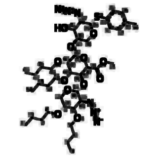 CCCCOC1[C@H](OCCCC)CO[C@H](O[C@@H]2C(C(=O)OC)O[C@@H](O[C@@H]3CO[C@@H](Sc4ccc(C)cc4)[C@@H](N=[N+]=[N-])C3O)[C@@H](OCCCC)C2OCCCC)[C@H]1N=[N+]=[N-]